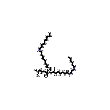 CCCCC/C=C\C/C=C\CCCCCCCCN(NCCCCCCCC/C=C\CCCCCCCC)C(=O)CCCN(C)C